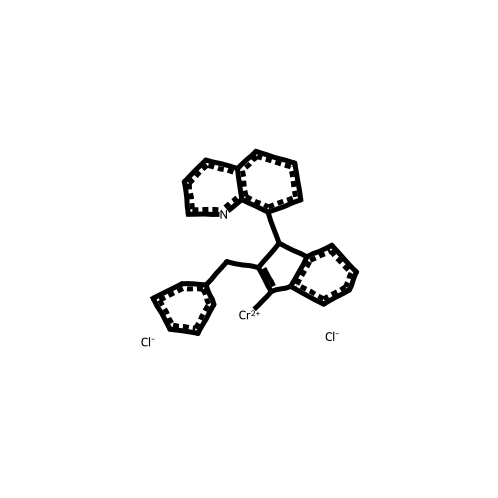 [Cl-].[Cl-].[Cr+2][C]1=C(Cc2ccccc2)C(c2cccc3cccnc23)c2ccccc21